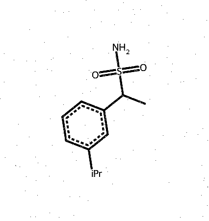 CC(C)c1cccc(C(C)S(N)(=O)=O)c1